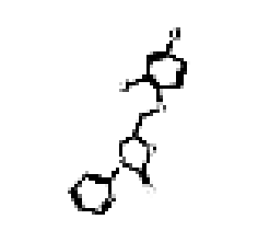 O=C1OC(COc2ccc(Cl)cc2Cl)CN1c1ccccc1